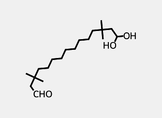 CC(C)(CC=O)CCCCCCCCCC(C)(C)CC(O)O